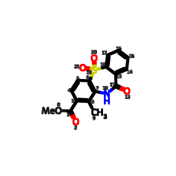 COC(=O)c1ccc2c(c1C)NC(=O)c1ccccc1S2(=O)=O